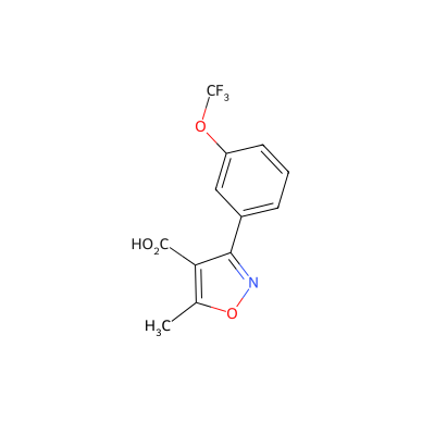 Cc1onc(-c2cccc(OC(F)(F)F)c2)c1C(=O)O